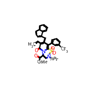 C=Cc1c(Cc2cccc3ccccc23)c(-c2cccc(C(F)(F)F)c2)c2n(c1=O)C(C(=O)OC)CN(CCC)S2(=O)=O